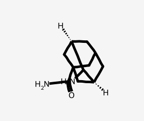 NC(=O)C12CC3C[C@H](C1)C(N)[C@@H](C3)C2